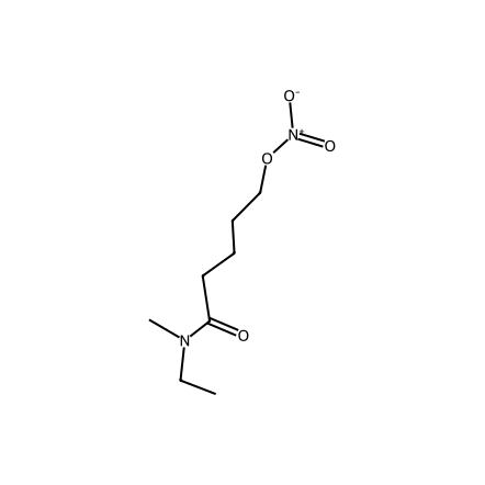 CCN(C)C(=O)CCCCO[N+](=O)[O-]